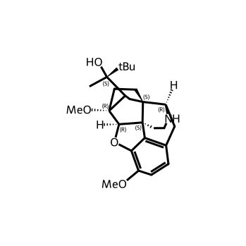 COc1ccc2c3c1O[C@@H]1[C@]34CCN[C@H](C2)[C@]42CC[C@@]1(OC)C([C@](C)(O)C(C)(C)C)C2